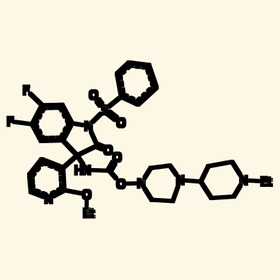 CCOc1ncccc1C1(NC(=O)ON2CCN(C3CCN(CC)CC3)CC2)C(=O)N(S(=O)(=O)c2ccccc2)c2cc(F)c(F)cc21